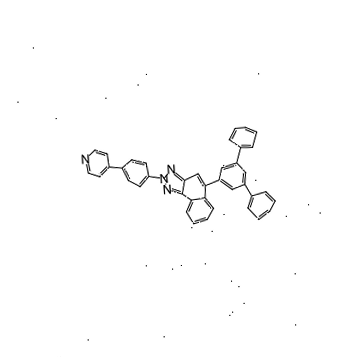 c1ccc(-c2cc(-c3ccccc3)cc(-c3cc4nn(-c5ccc(-c6ccncc6)cc5)nc4c4ccccc34)c2)cc1